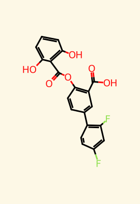 O=C(O)c1cc(-c2ccc(F)cc2F)ccc1OC(=O)c1c(O)cccc1O